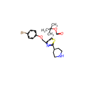 Brc1ccc(OCc2csc(C3CCNCC3)n2)cc1.CC(C)(C)OC=O